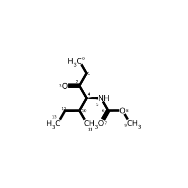 CCC(=O)[C@@H](NC(=O)OC)C(C)CC